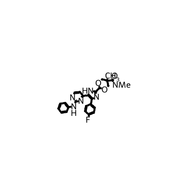 CNC(=O)C1(C)COC(c2nc(-c3ccc(F)cc3)c(-c3ccnc(Nc4ccccc4)n3)[nH]2)OC1